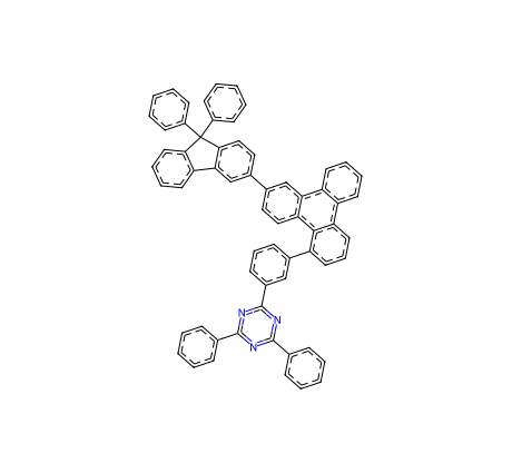 c1ccc(-c2nc(-c3ccccc3)nc(-c3cccc(-c4cccc5c6ccccc6c6cc(-c7ccc8c(c7)-c7ccccc7C8(c7ccccc7)c7ccccc7)ccc6c45)c3)n2)cc1